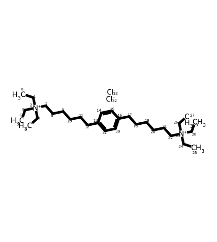 CC[N+](CC)(CC)CCCCCCc1ccc(CCCCCC[N+](CC)(CC)CC)cc1.[Cl-].[Cl-]